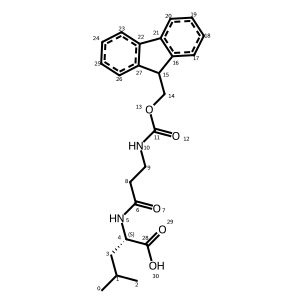 CC(C)C[C@H](NC(=O)CCNC(=O)OCC1c2ccccc2-c2ccccc21)C(=O)O